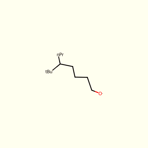 CCCC(CCCC[O])C(C)(C)C